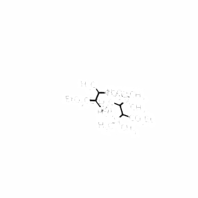 CCOC(=O)C(C(C(=O)OCC)[Si](C)(C)C)[Si](C)(C)C.CCOC(=O)C(C)C(C(=O)OCC)C(C)CC